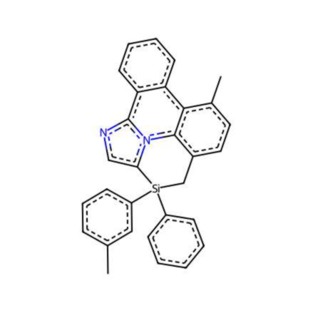 Cc1cccc([Si]2(c3ccccc3)Cc3ccc(C)c4c5ccccc5c5ncc2n5c34)c1